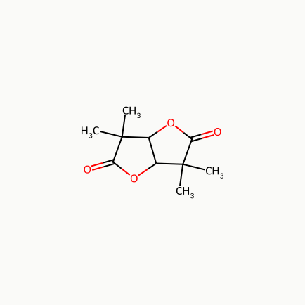 CC1(C)C(=O)OC2C1OC(=O)C2(C)C